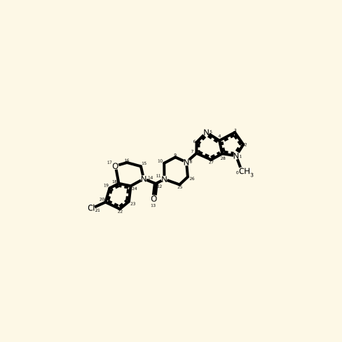 Cn1ccc2ncc(N3CCN(C(=O)N4CCOc5cc(Cl)ccc54)CC3)cc21